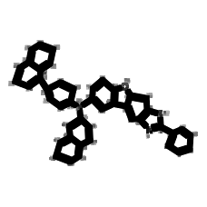 c1ccc(-c2nc3cc4c(cc3s2)oc2ccc(N(c3ccc(-c5cccc6ccccc56)cc3)c3ccc5ccccc5c3)cc24)cc1